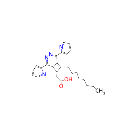 CCCCCCCC[C@H]1C2C(c3ccccn3)=NN=C(c3ccccn3)C2[C@H]1CC(=O)O